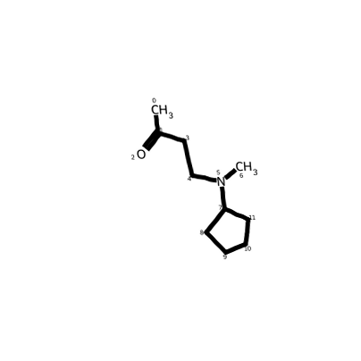 CC(=O)CCN(C)C1CCCC1